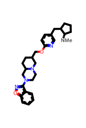 CNC1CCCC1Cc1ccc(OCC2CCC3CN(c4noc5ccccc45)CCN3C2)nc1